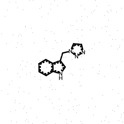 c1ccc2c(Cn3ccnn3)c[nH]c2c1